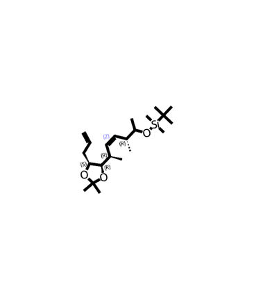 C=CC[C@@H]1OC(C)(C)O[C@@H]1[C@H](C)/C=C\[C@@H](C)C(C)O[Si](C)(C)C(C)(C)C